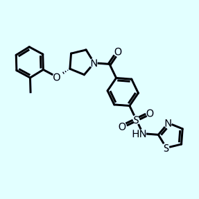 Cc1ccccc1O[C@@H]1CCN(C(=O)c2ccc(S(=O)(=O)Nc3nccs3)cc2)C1